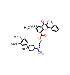 COc1ccc(C2(C#N)CCC(N(C)CCCOC(=O)c3cccc4c(=O)c(C)c(-c5ccccc5)oc34)CC2)cc1OC.CS(=O)(=O)O